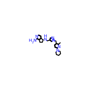 Cc1nc(N2CCCCC2)ccc1Cn1cc(CN[C@@H]2CCc3c2ccnc3N)cn1